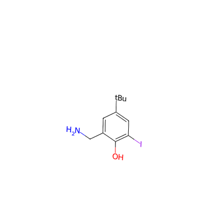 CC(C)(C)c1cc(I)c(O)c(CN)c1